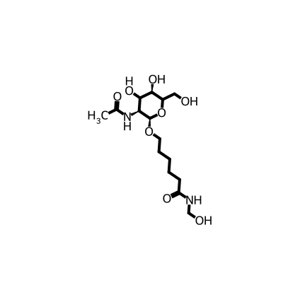 CC(=O)N[C@H]1C(O)[C@@H](O)C(CO)O[C@H]1OCCCCCC(=O)NCO